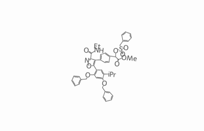 CCNC(=O)c1noc(-c2cc(C(C)C)c(OCc3ccccc3)cc2OCc2ccccc2)c1-c1ccc(C(OS(=O)(=O)Cc2ccccc2)C(=O)OC)cc1